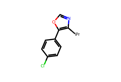 CC(C)c1ncoc1-c1ccc(Cl)cc1